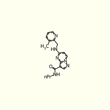 CCCNC(=O)c1cnn2ccc(NCc3ncccc3C)nc12